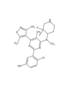 Cc1noc(C)c1-c1nc(-c2cc(O)ccc2Cl)nc(N(C)C2CCNCC2(F)F)c1C